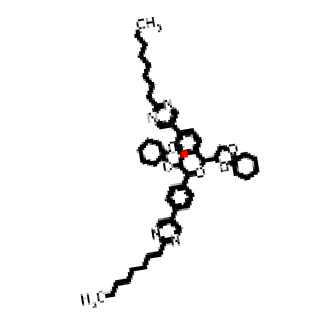 CCCCCCCCc1ncc(-c2ccc(C(OC(c3ccc(-c4cnc(CCCCCCCC)nc4)cc3)C3COC4(CCCCC4)O3)C3COC4(CCCCC4)O3)cc2)cn1